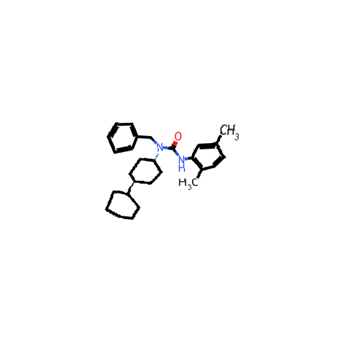 Cc1ccc(C)c(NC(=O)N(Cc2ccccc2)[C@H]2CC[C@H](C3CCCCC3)CC2)c1